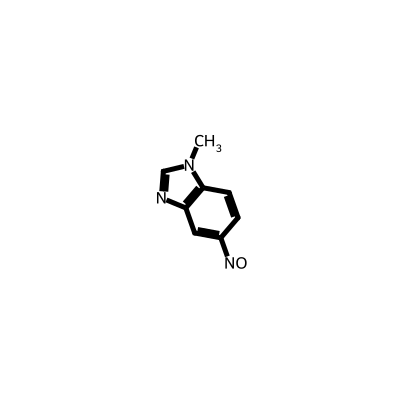 Cn1cnc2cc(N=O)ccc21